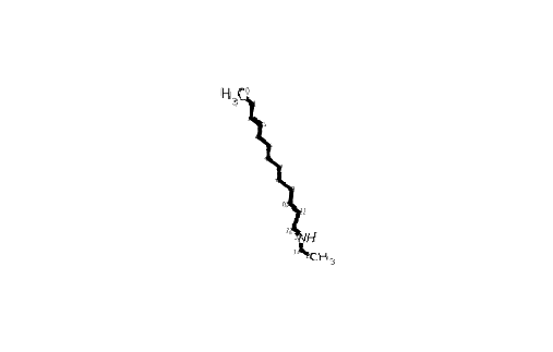 CCC=CCCCCCCCCCNCC